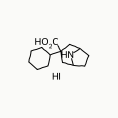 I.O=C(O)C1(C2CCCCC2)CC2CCC(C1)N2